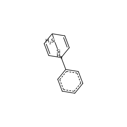 C1=CC2(c3ccccc3)C=CC1[SiH2][SiH2]2